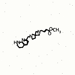 COC(=O)/C=C/CN1CC2(CCN(Cc3ccc4c(n3)NCCC4)C2)C1